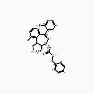 Cc1cccc2c1N(CC(=O)O)C(=O)[C@@H](NC(=O)OCc1ccccc1)N=C2c1ccccc1F